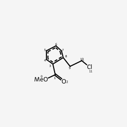 COC(=O)c1ccccc1C[CH]Cl